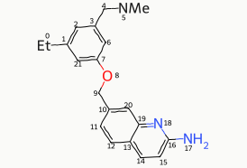 CCc1cc(CNC)cc(OCc2ccc3ccc(N)nc3c2)c1